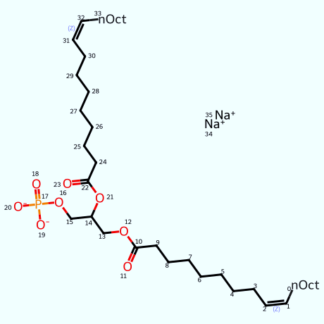 CCCCCCCC/C=C\CCCCCCCC(=O)OCC(COP(=O)([O-])[O-])OC(=O)CCCCCCC/C=C\CCCCCCCC.[Na+].[Na+]